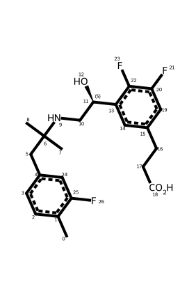 Cc1ccc(CC(C)(C)NC[C@@H](O)c2cc(CCC(=O)O)cc(F)c2F)cc1F